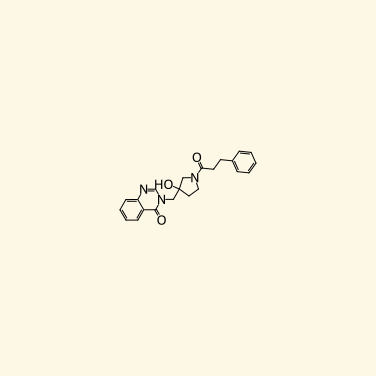 O=C(CCc1ccccc1)N1CCC(O)(Cn2cnc3ccccc3c2=O)C1